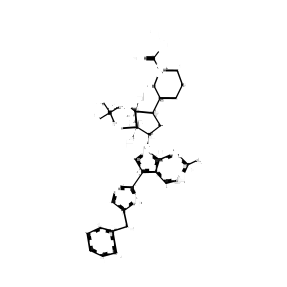 CC(C)(C)OC(=O)N1CCCC(C2C[C@@H](n3cc(-c4nc(Cc5ccccc5)cs4)c4cnc(Cl)nc43)[C@@H]3OC(C)(C)O[C@H]23)C1